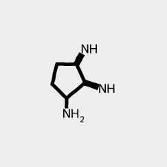 N=C1CCC(N)C1=N